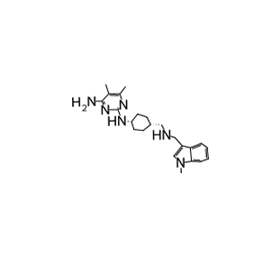 Cc1nc(N[C@H]2CC[C@@H](CNCc3cn(C)c4ccccc34)CC2)nc(N)c1C